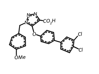 COc1ccc(Cn2nnc(C(=O)O)c2Oc2ccc(-c3ccc(Cl)c(Cl)c3)cc2)cc1